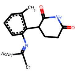 CC/C(=N/c1cccc(C)c1C1CCC(=O)NC1=O)NC(C)=O